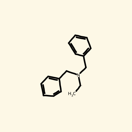 C[CH]N(Cc1ccccc1)Cc1ccccc1